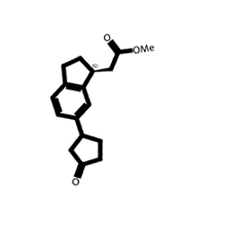 COC(=O)C[C@@H]1CCc2ccc(C3CCC(=O)C3)cc21